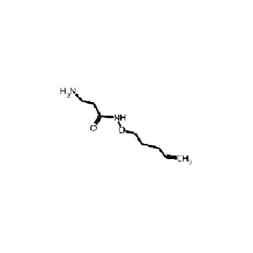 C=CCCCONC(=O)CCN